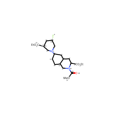 CCOC(=O)C1CC2CC(N3C[C@@H](F)C[C@H](C(=O)OCC)C3)CCC2CN1C(=O)OC